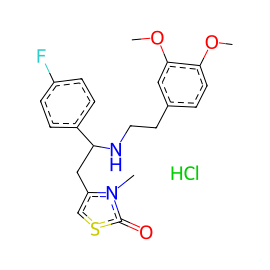 COc1ccc(CCNC(Cc2csc(=O)n2C)c2ccc(F)cc2)cc1OC.Cl